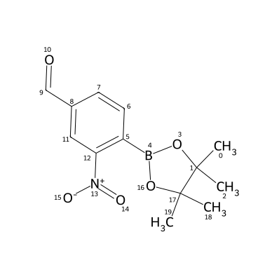 CC1(C)OB(c2ccc(C=O)cc2[N+](=O)[O-])OC1(C)C